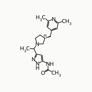 CC(=O)Nc1cc(C(C)N2CC[C@@H](Cc3cc(C)nc(C)c3)C2)n[nH]1